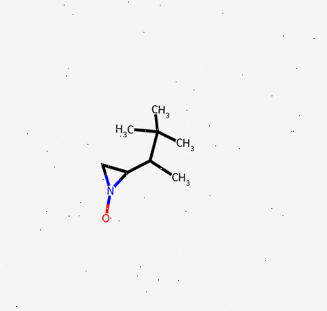 CC(C1CN1[O])C(C)(C)C